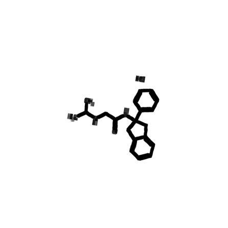 CC(C)NCC(=O)NC1(c2ccccc2)Cc2ccccc2C1.Cl